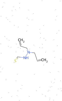 C=CCN(CC=C)NC=S